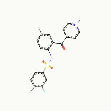 O=C(c1cc[n+]([O-])cc1)c1cc(Cl)ccc1NS(=O)(=O)c1ccc(Br)c(F)c1